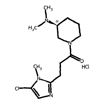 CN(C)[C@H]1CCCN(C(=O)CCc2ncc(Cl)n2C)C1.Cl